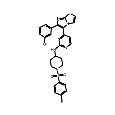 O=S(=O)(c1ccc(F)cc1)N1CCC(Nc2nccc(-c3c(-c4cccc(O)c4)nc4sccn34)n2)CC1